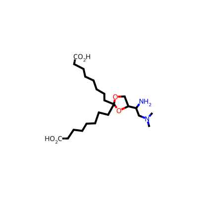 CN(C)CC(N)C1COC(CCCCCCCC(=O)O)(CCCCCCCC(=O)O)O1